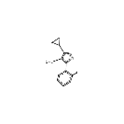 O=Cc1c(-c2ccccc2F)noc1C1CC1